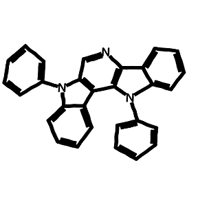 c1ccc(-n2c3ccccc3c3c2cnc2c4ccccc4n(-c4ccccc4)c23)cc1